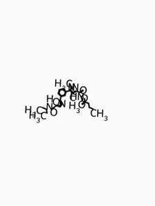 CCCCC(=O)ONC(=O)c1nn(C)c(-c2cccc(-c3ncc(C(=O)NC(CC)CC)o3)c2)c1C